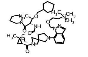 C[C@@H](OCC1CCCCC1)[C@H](NC(=O)[C@@H]1CN(c2cccc3cnn(COCC[Si](C)(C)C)c23)CC12CN(C(=O)[C@H]1CC1(C)C)C2)C(=O)N1CCCCC1